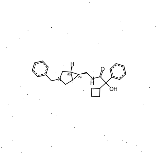 O=C(NC[C@H]1C2CN(Cc3ccccc3)C[C@@H]21)C(O)(c1ccccc1)C1CCC1